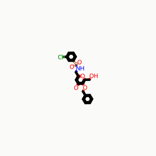 O=c1cc(CNS(=O)(=O)c2cccc(Cl)c2)oc(CO)c1OCc1ccccc1